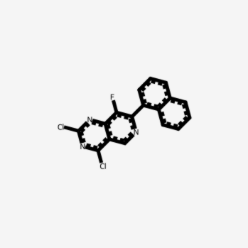 Fc1c(-c2cccc3ccccc23)ncc2c(Cl)nc(Cl)nc12